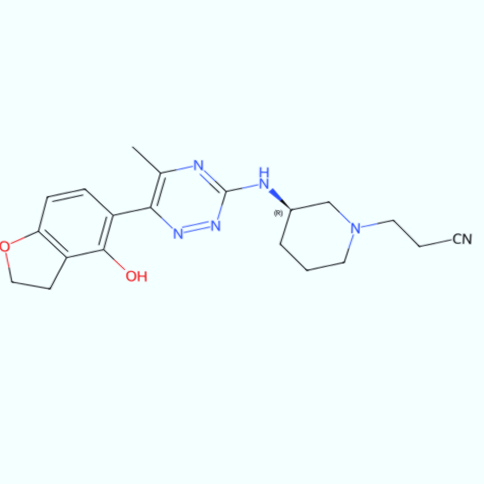 Cc1nc(N[C@@H]2CCCN(CCC#N)C2)nnc1-c1ccc2c(c1O)CCO2